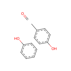 C=O.Cc1ccc(O)cc1.Oc1ccccc1